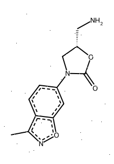 Cc1noc2cc(N3C[C@H](CN)OC3=O)ccc12